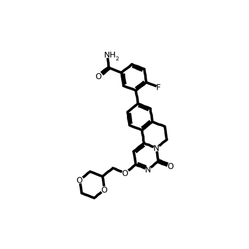 NC(=O)c1ccc(F)c(-c2ccc3c(c2)CCn2c-3cc(OCC3COCCO3)nc2=O)c1